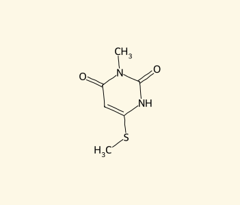 CSc1cc(=O)n(C)c(=O)[nH]1